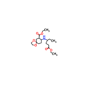 CCOC(=O)CCC(CC)NC1CCC2(CC1C(=O)OCC)OCCO2